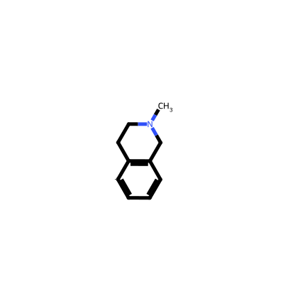 CN1CCc2[c]cccc2C1